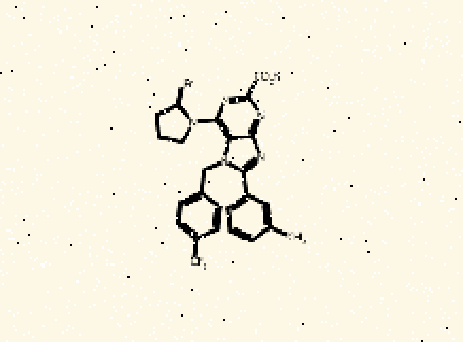 Cc1cccc(-c2nc3nc(C(=O)O)nc(N4CCCC4C(C)C)c3n2Cc2ccc(C(F)(F)F)cc2)c1